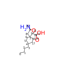 CCCCC1CCC(CC(N)=O)(CC(=O)O)CC1